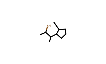 CC(S)C(C)C1CCCC1C